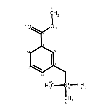 COC(=O)C1C=C(C[N+](C)(C)C)C=CC1